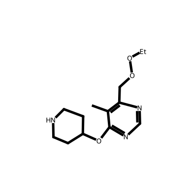 CCOOCc1ncnc(OC2CCNCC2)c1C